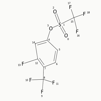 O=S(=O)(Oc1ccc(C(F)(F)F)c(F)c1)C(F)(F)F